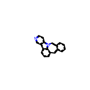 C1=c2ccccc2=Cn2c3ccncc3c3cccc1c32